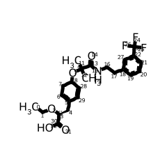 CCO[C@@H](CC1=CCC(OC(C)(C)C(=O)NCCc2cccc(C(F)(F)F)c2)C=C1)C(=O)O